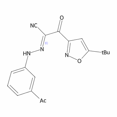 CC(=O)c1cccc(N/N=C(\C#N)C(=O)c2cc(C(C)(C)C)on2)c1